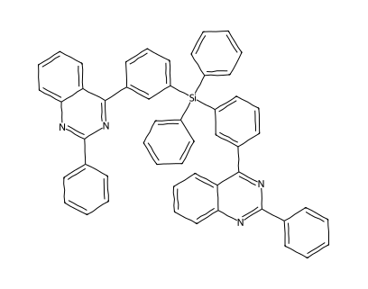 c1ccc(-c2nc(-c3cccc([Si](c4ccccc4)(c4ccccc4)c4cccc(-c5nc(-c6ccccc6)nc6ccccc56)c4)c3)c3ccccc3n2)cc1